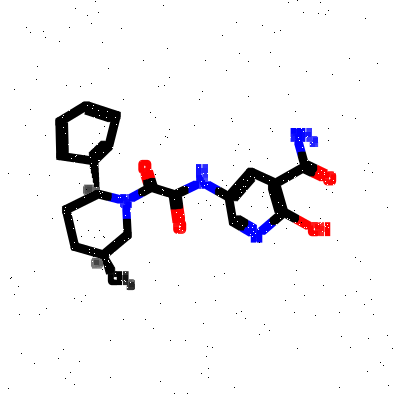 C[C@H]1CC[C@H](c2ccccc2)N(C(=O)C(=O)Nc2cnc(O)c(C(N)=O)c2)C1